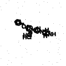 Cl.Cl.O=c1cc(OCc2ccccc2)ccn1-c1ccc(N2C[C@H]3CNC[C@H]3C2)nc1